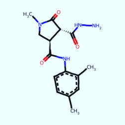 Cc1ccc(NC(=O)[C@H]2CN(C)C(=O)[C@@H]2C(=O)NN)c(C)c1